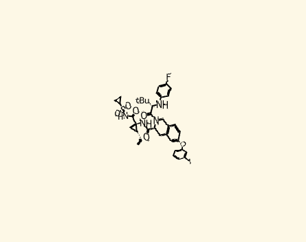 C=C[C@@H]1C[C@]1(NC(=O)[C@@H]1Cc2cc(Oc3cccc(I)c3)ccc2CN1C(=O)[C@@H](Nc1ccc(F)cc1)C(C)(C)C)C(=O)NS(=O)(=O)C1CC1